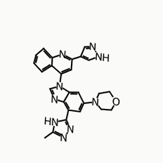 Cc1nnc(-c2cc(N3CCOCC3)cc3c2ncn3-c2cc(-c3cn[nH]c3)nc3ccccc23)[nH]1